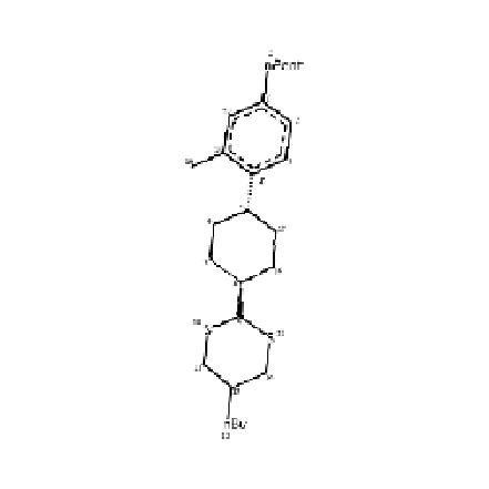 CCCCCc1ccc([C@H]2CC[C@H](C3SCC(CCCC)CS3)CC2)c(C)c1